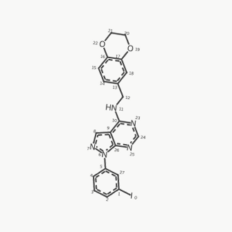 Ic1cccc(-n2ncc3c(NCc4ccc5c(c4)OCCO5)ncnc32)c1